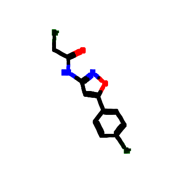 O=C(CBr)Nc1cc(-c2ccc(Br)cc2)on1